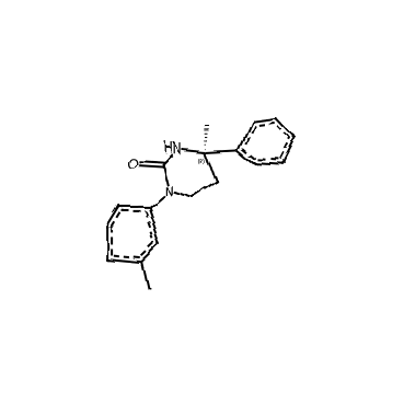 Cc1cccc(N2CC[C@](C)(c3ccccc3)NC2=O)c1